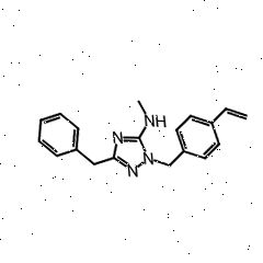 C=Cc1ccc(Cn2nc(Cc3ccccc3)nc2NC)cc1